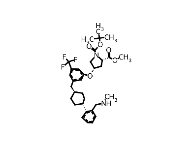 CNCc1ccccc1[C@H]1CC[C@H](Cc2cc(O[C@H]3C[C@@H](C(=O)OC)N(C(=O)OC(C)(C)C)C3)cc(C(F)(F)F)c2)CC1